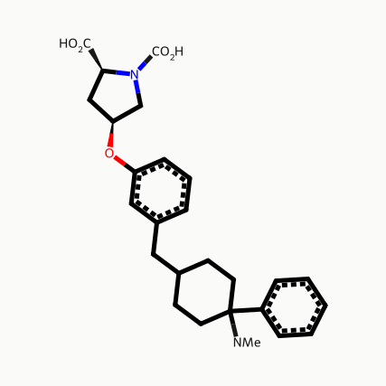 CNC1(c2ccccc2)CCC(Cc2cccc(O[C@H]3C[C@@H](C(=O)O)N(C(=O)O)C3)c2)CC1